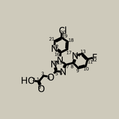 O=C(O)COc1nc(-c2ccc(F)cn2)n(-c2ccc(Cl)cn2)n1